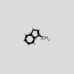 [CH2]C1=CCc2ccccc21